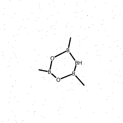 CB1BB(C)OB(C)O1